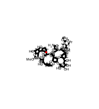 CONC(=O)[C@H]1NC(=O)[C@H]2NC(=O)[C@H](NC(=O)[C@@H]3NC(=O)[C@H](CC(N)=O)NC(=O)[C@H](NC(=O)[C@@H](CC(C)C)N(C)C(=O)OC(C)(C)C)[C@H](O)c4ccc5c(c4)C(O)[C@H]4O[C@@H](Oc6c(cc3cc6O5)Oc3ccc(cc3Cl)[C@H]2O)[C@H](O)[C@@H](O)[C@@H]4O)c2ccc(O)c(c2)-c2c(C)cc(O)cc21